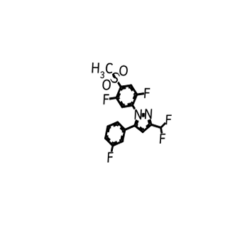 CS(=O)(=O)c1cc(F)c(-n2nc(C(F)F)cc2-c2cccc(F)c2)cc1F